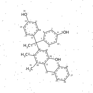 Cc1c(C(C)(c2ccc(O)cc2)c2ccc(O)cc2)cc(O)c(Cc2ccccc2)c1C